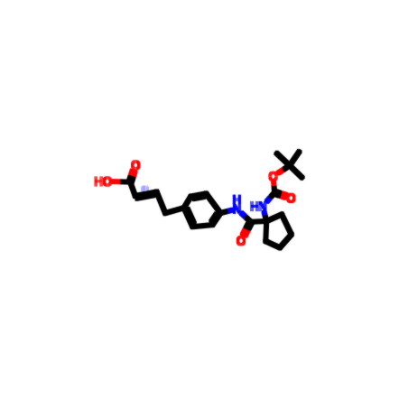 CC(C)(C)OC(=O)NC1(C(=O)Nc2ccc(C/C=C/C(=O)O)cc2)CCCC1